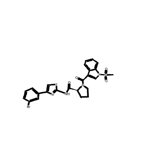 CS(=O)(=O)n1cc(C(=O)N2CCC[C@H]2C(=O)Nc2nc(-c3cccc(Br)c3)cs2)c2ccccc21